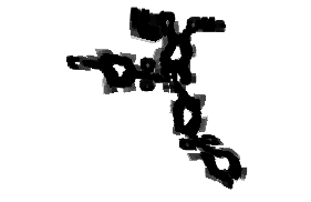 COc1cc(CNc2ccc(S(=O)(=O)N3CCSCC3)cc2)c(NS(=O)(=O)c2ccc(Cl)cc2)cc1OC